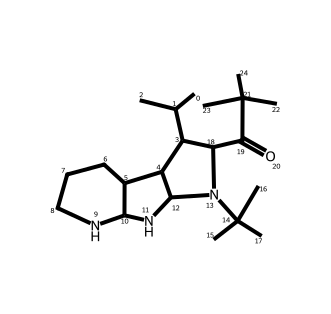 CC(C)C1C2C3CCCNC3NC2N(C(C)(C)C)C1C(=O)C(C)(C)C